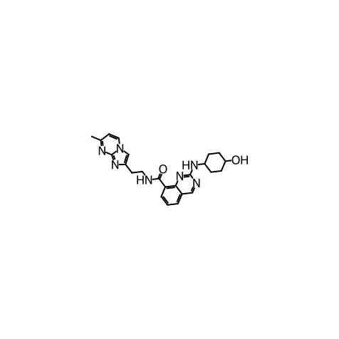 Cc1ccn2cc(CCNC(=O)c3cccc4cnc(NC5CCC(O)CC5)nc34)nc2n1